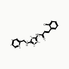 O=C(/C=C/c1ccccc1Cl)Nc1nnc(NCc2ccccn2)s1